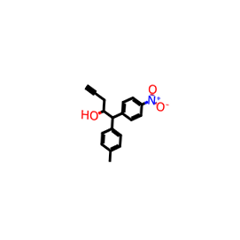 C#CCC(O)C(c1ccc(C)cc1)c1ccc([N+](=O)[O-])cc1